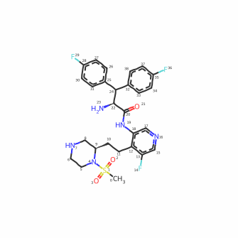 CS(=O)(=O)N1CCNC[C@H]1CCc1c(F)cncc1NC(=O)[C@@H](N)C(c1ccc(F)cc1)c1ccc(F)cc1